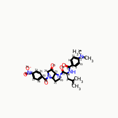 CC(C)C[C@H](NC(=O)c1ccc(N(C)C)cc1)C(=O)N1CCC2C1C(=O)CN2C(=O)c1ccc([N+](=O)[O-])cc1